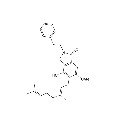 COc1cc2c(c(O)c1C/C=C(\C)CCC=C(C)C)CN(CCc1ccccc1)C2=O